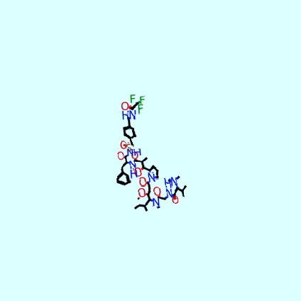 CCC(C)C(C(CC(=O)N1CCCC1C(OC)C(C)C(=O)NC(Cc1ccccc1)C(=O)N[S+]([O-])Cc1ccc(CNC(=O)C(F)(F)F)cc1)OC)N(C)C(=O)CNC(=O)C(C(C)C)N(C)C